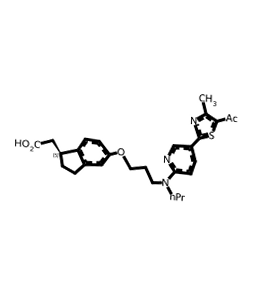 CCCN(CCCOc1ccc2c(c1)CC[C@H]2CC(=O)O)c1ccc(-c2nc(C)c(C(C)=O)s2)cn1